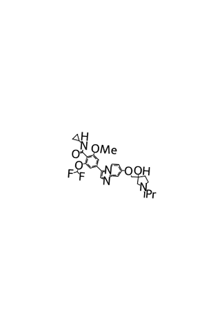 COc1cc(-c2cnc3cc(OCC4(O)CCN(C(C)C)C4)ccn23)cc(OC(F)F)c1C(=O)NC1CC1